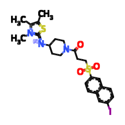 Cc1s/c(=N\C2CCN(C(=O)CCS(=O)(=O)c3ccc4cc(I)ccc4c3)CC2)n(C)c1C